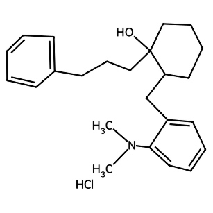 CN(C)c1ccccc1CC1CCCCC1(O)CCCc1ccccc1.Cl